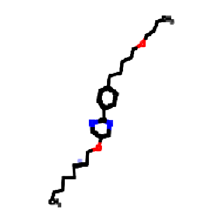 CCCCC/C=C/COc1cnc(-c2ccc(CCCCCOCCCC)cc2)nc1